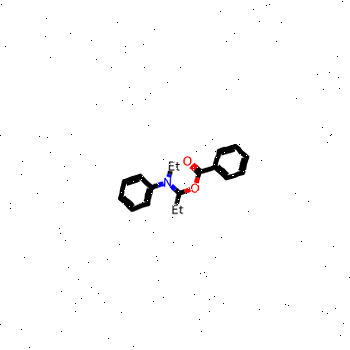 CCC(OC(=O)c1ccccc1)N(CC)c1ccccc1